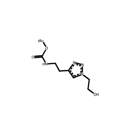 CC(C)(C)OC(=O)NCCc1cn(CCO)nn1